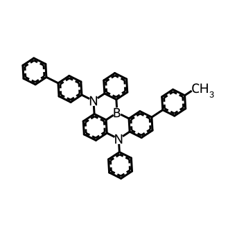 Cc1ccc(-c2ccc3c(c2)B2c4ccccc4N(c4ccc(-c5ccccc5)cc4)c4cccc(c42)N3c2ccccc2)cc1